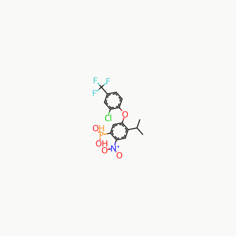 CC(C)c1cc([N+](=O)[O-])c([PH](=O)O)cc1Oc1ccc(C(F)(F)F)cc1Cl